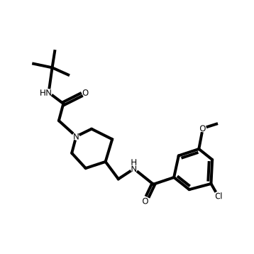 COc1cc(Cl)cc(C(=O)NCC2CCN(CC(=O)NC(C)(C)C)CC2)c1